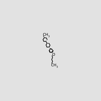 CCCCCCOc1ccc([C@H]2CC[C@H]([C@H]3CC[C@H](CC)CC3)CC2)cc1